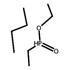 CCCC.CCO[PH](=O)CC